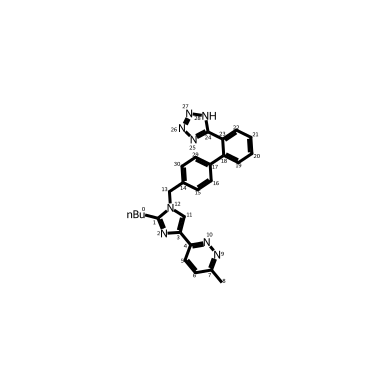 CCCCc1nc(-c2ccc(C)nn2)cn1Cc1ccc(-c2ccccc2-c2nnn[nH]2)cc1